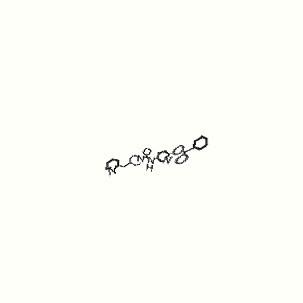 O=C(Oc1ccc(NC(=O)N2CCC(=Cc3ccccn3)CC2)cn1)c1ccccc1